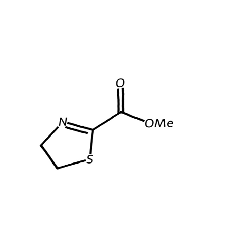 COC(=O)C1=NCCS1